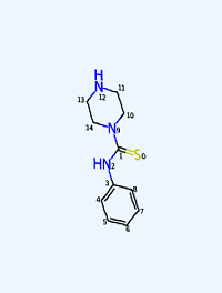 S=C(Nc1ccccc1)N1CCNCC1